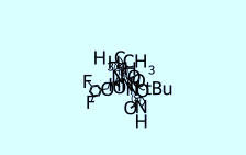 CC(C)(C)OC(=O)N(C[C@@H]1CCNC1=O)NC(=O)[C@@H]1[C@@H]2[C@H](CN1C(=O)COc1cc(F)cc(F)c1)C2(C)C